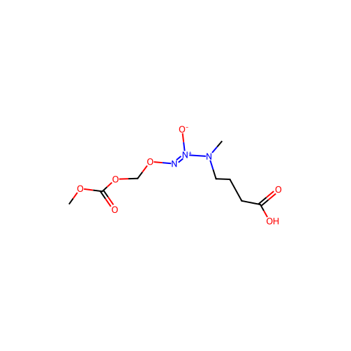 COC(=O)OCON=[N+]([O-])N(C)CCCC(=O)O